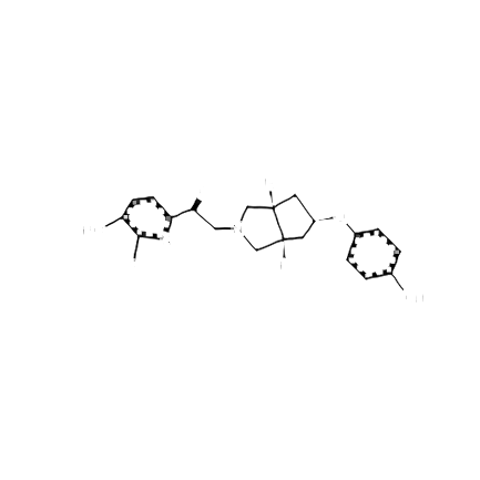 Cc1ccc(O[C@H]2C[C@@H]3CN(CC(=O)c4ccc(O)c(F)n4)C[C@@H]3C2)cc1